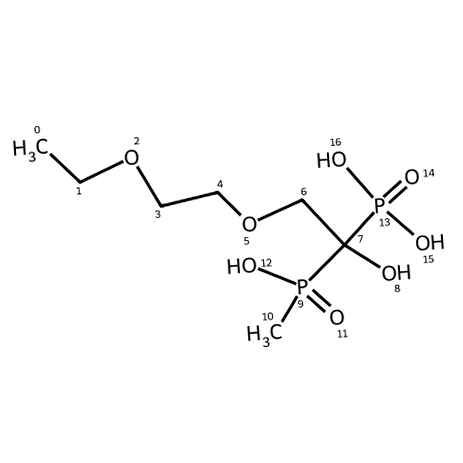 CCOCCOCC(O)(P(C)(=O)O)P(=O)(O)O